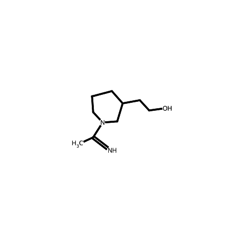 CC(=N)N1CCCC(CCO)C1